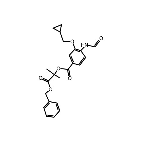 CC(C)(OC(=O)c1ccc(NC=O)c(OCC2CC2)c1)C(=O)OCc1ccccc1